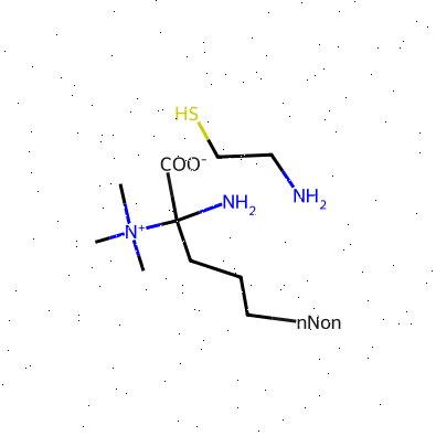 CCCCCCCCCCCCC(N)(C(=O)[O-])[N+](C)(C)C.NCCS